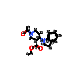 CCOC(=O)[C@@H]1CN(C(C)=O)CC[C@H]1N1CCc2ccccc21